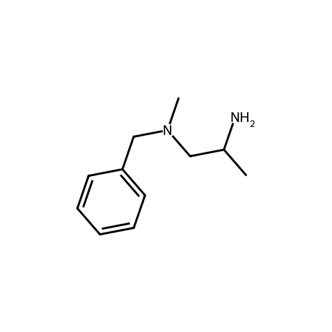 CC(N)CN(C)Cc1ccccc1